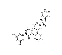 CCc1ccc(-c2c(N3CCN(S(=O)(=O)Cc4ccccc4)CC3)cnn(-c3cc(F)cc(F)c3)c2=O)cc1